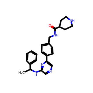 CC(Nc1cncc(-c2ccc(CNC(=O)C3CCNCC3)cc2)n1)c1ccccc1